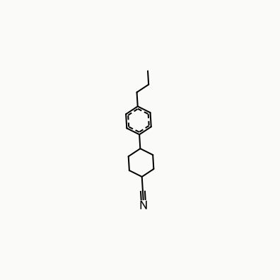 CCCc1ccc(C2CCC(C#N)CC2)cc1